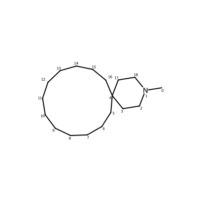 CN1CCC2(CCCCCCCCCCCC2)CC1